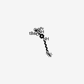 CCCN(NC(=O)c1ccc(NCCCCCCCCN=[N+]=[N-])cc1)C(=O)OC(C)(C)C